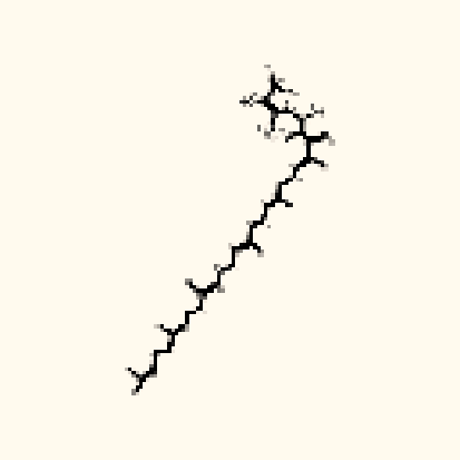 CC(C)=CCC/C(C)=C/CC/C(C)=C/CC/C=C(\C)CC/C=C(\C)CCC=C(C)C(=O)C(O)[C@H](O)[C@H]1OC(=O)C(O)=C1O